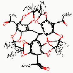 COC(=O)c1c2c(c([C](c3c4c(c(C(=O)OC)c5c3OC(C)(C)O5)OC(C)(C)O4)c3c4c(c(C(=O)OC)c5c3OC(C)(C)O5)OC(C)(C)O4)c3c1OC(C)(C)O3)OC(C)(C)O2